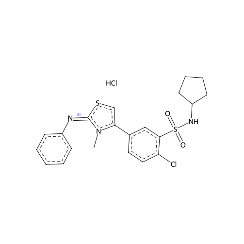 Cl.Cn1c(-c2ccc(Cl)c(S(=O)(=O)NC3CCCC3)c2)cs/c1=N/c1ccccc1